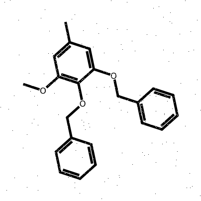 COc1cc(C)cc(OCc2ccccc2)c1OCc1ccccc1